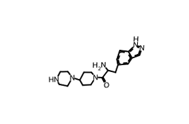 NC(Cc1ccc2[nH]ncc2c1)C(=O)N1CCC(N2CCNCC2)CC1